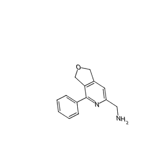 NCc1cc2c(c(-c3ccccc3)n1)COC2